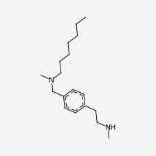 CCCCCCCN(C)Cc1ccc(CCNC)cc1